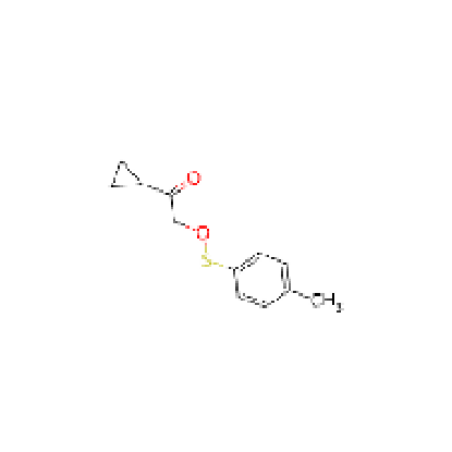 Cc1ccc(SOCC(=O)C2CC2)cc1